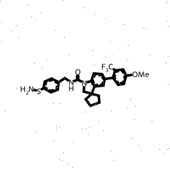 COc1ccc(-c2ccc3c(c2)C2(CCCC2)CN3C(=O)NCc2ccc(SN)cc2)c(C(F)(F)F)c1